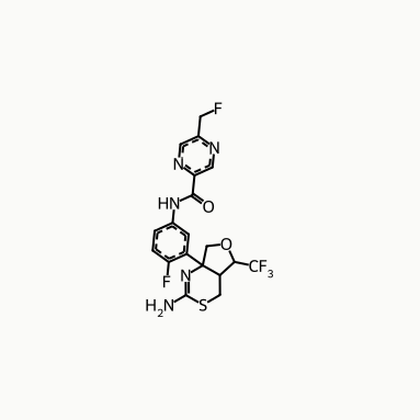 NC1=NC2(c3cc(NC(=O)c4cnc(CF)cn4)ccc3F)COC(C(F)(F)F)C2CS1